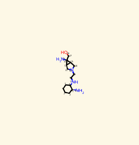 N[C@H]1CCCCC1NCCN1CC2C(C1)C2(N)CO